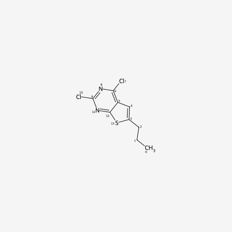 CCCc1cc2c(Cl)nc(Cl)nc2s1